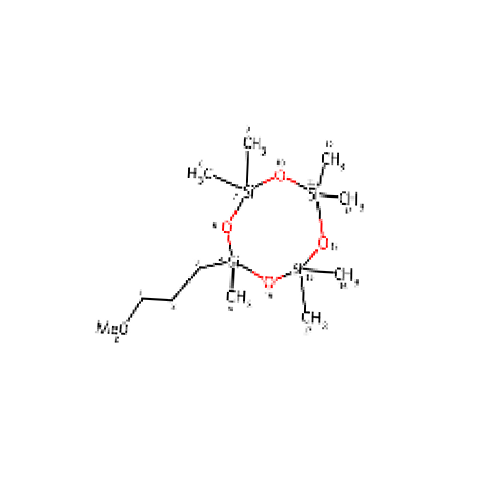 COCCC[Si]1(C)O[Si](C)(C)O[Si](C)(C)O[Si](C)(C)O1